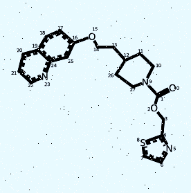 O=C(OCc1nccs1)N1CCC(CCOc2ccc3cccnc3c2)CC1